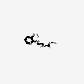 CC(C)(C)OC(=O)NCCNc1ncccc1[N+](=O)[O-]